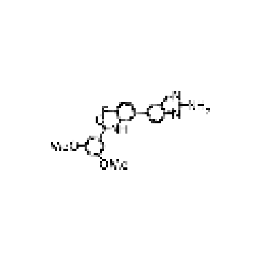 COc1cc(OC)cc(C(=O)Nc2cc(-c3ccc4nc(N)ncc4c3)ccc2F)c1